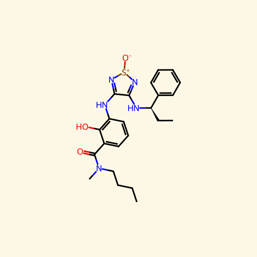 CCCCN(C)C(=O)c1cccc(Nc2n[s+]([O-])nc2N[C@H](CC)c2ccccc2)c1O